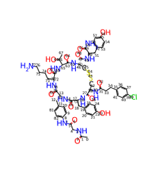 CC(=O)NCC(=O)Nc1ccc(C[C@H]2NC(=O)[C@H](Cc3ccc(O)cc3)NC(=O)[C@H](NC(=O)CCc3ccc(Cl)cc3)CSSC[C@@H](C(=O)N[C@H](Cc3ccc(O)cc3)C(N)=O)NC(=O)C(C(C)O)NC(=O)[C@H](CCCCN)NC2=O)cc1